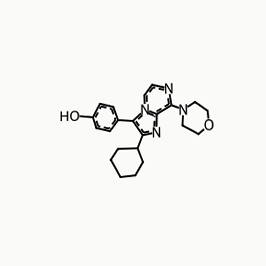 Oc1ccc(-c2c(C3CCCCC3)nc3c(N4CCOCC4)nccn23)cc1